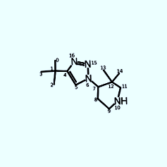 CC(C)(C)c1cn(C2CCNCC2(C)C)nn1